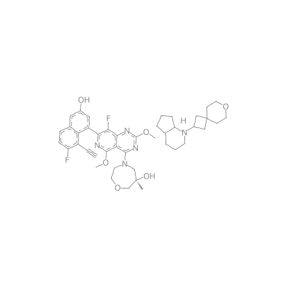 C#Cc1c(F)ccc2cc(O)cc(-c3nc(OC)c4c(N5CCOC[C@@](C)(O)C5)nc(OC[C@]56CCC[C@H]5N(C5CC7(CCOCC7)C5)CCC6)nc4c3F)c12